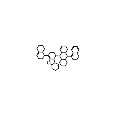 C1=CC2=C(C3C4CCC=CC4C(C4CCC(C5CCC=C6CCCCC65)=C5OC6CCC=CC6C54)C4CCCCC43)CCCC2C=C1